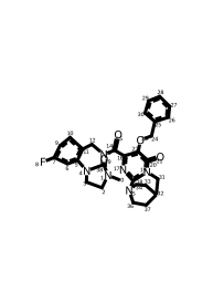 CN1CCN(c2cc(F)ccc2CNC(=O)c2nc3n(c(=O)c2OCc2ccccc2)CC2CCN3CC2)C1=O